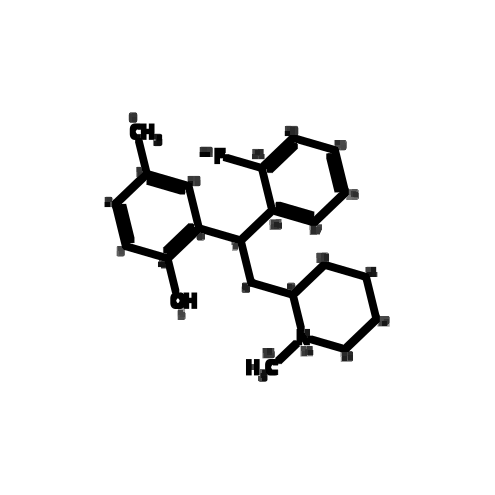 Cc1ccc(O)c(C(CC2CCCCN2C)c2ccccc2F)c1